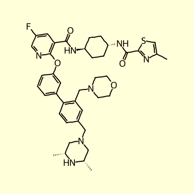 Cc1csc(C(=O)N[C@H]2CC[C@H](NC(=O)c3cc(F)cnc3Oc3cccc(-c4ccc(CN5C[C@@H](C)N[C@@H](C)C5)cc4CN4CCOCC4)c3)CC2)n1